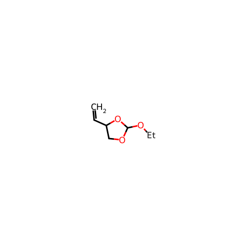 C=CC1COC(OCC)O1